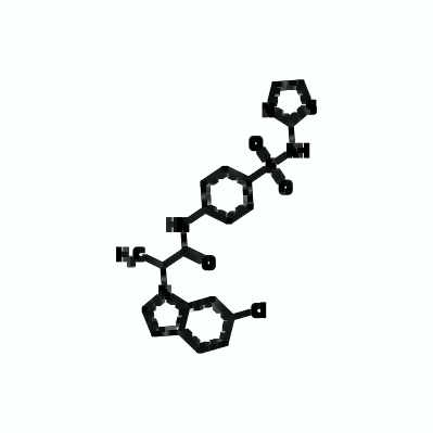 CC(C(=O)Nc1ccc(S(=O)(=O)Nc2nccs2)cc1)n1ccc2ccc(Cl)cc21